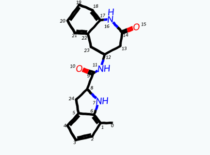 Cc1cccc2c1NC(C(=O)NC1CC(=O)Nc3ccccc3C1)C2